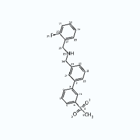 CS(=O)(=O)c1cccc(-c2cccc(CNCc3ccccc3F)c2)c1